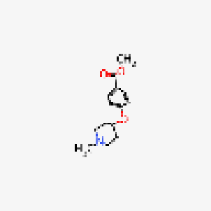 COC(=O)c1ccc(OC2CCN(C)CC2)cc1